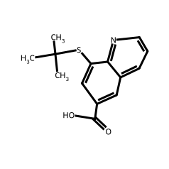 CC(C)(C)Sc1cc(C(=O)O)cc2cccnc12